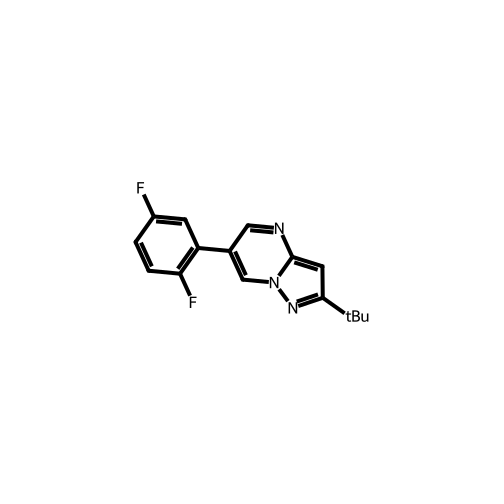 CC(C)(C)c1cc2ncc(-c3cc(F)ccc3F)cn2n1